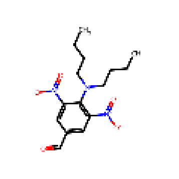 CCCCN(CCCC)c1c([N+](=O)[O-])cc(C=O)cc1[N+](=O)[O-]